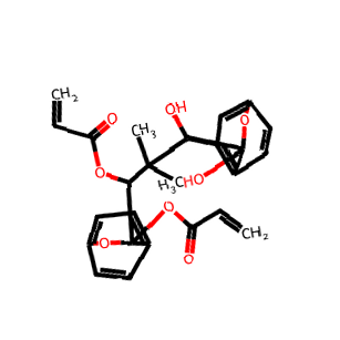 C=CC(=O)OC(C1(OC(=O)C=C)Oc2ccc1cc2)C(C)(C)C(O)C1(O)Oc2ccc1cc2